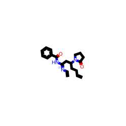 C=CCCC(C/C(=N\C=C)NC(=O)c1ccccc1)N1CCCC1=O